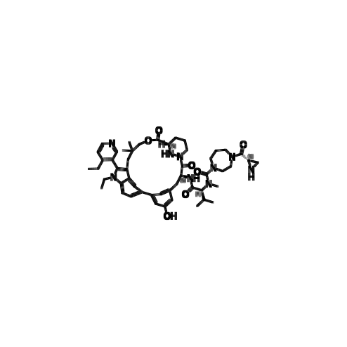 CCc1ccncc1-c1c2c3cc(ccc3n1CC)-c1cc(O)cc(c1)C[C@H](NC(=O)[C@H](C(C)C)N(C)C(=O)N1CCCN(C(=O)[C@@H]3CN3)CC1)C(=O)N1CCC[C@H](N1)C(=O)OCC(C)(C)C2